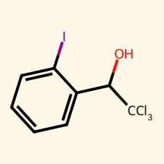 OC(c1ccccc1I)C(Cl)(Cl)Cl